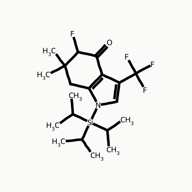 CC(C)[Si](C(C)C)(C(C)C)n1cc(C(F)(F)F)c2c1CC(C)(C)C(F)C2=O